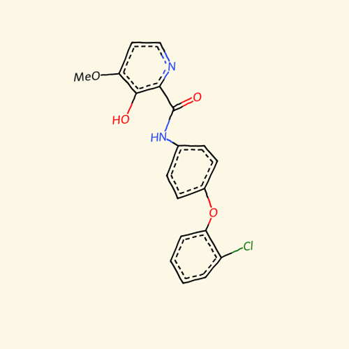 COc1ccnc(C(=O)Nc2ccc(Oc3ccccc3Cl)cc2)c1O